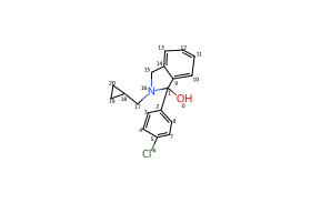 OC1(c2ccc(Cl)cc2)c2ccccc2CN1CC1CC1